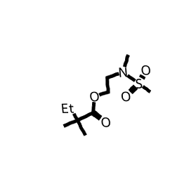 CCC(C)(C)C(=O)OCCN(C)S(C)(=O)=O